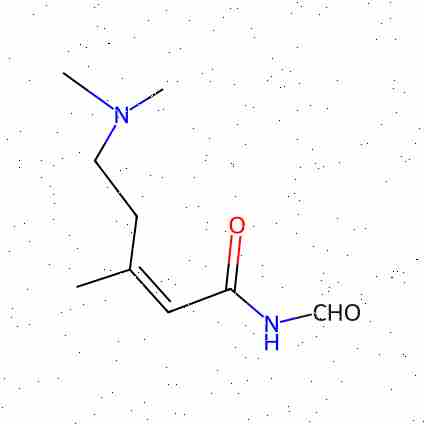 CC(=CC(=O)NC=O)CCN(C)C